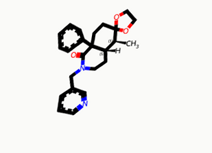 C[C@H]1[C@@H]2CCN(Cc3cccnc3)C(=O)C2(c2ccccc2)CCC12OCCO2